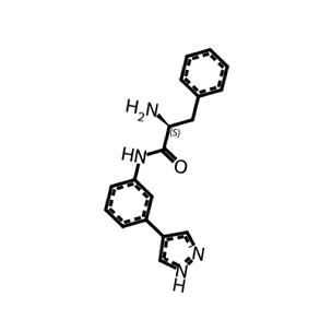 N[C@@H](Cc1ccccc1)C(=O)Nc1cccc(-c2cn[nH]c2)c1